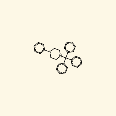 c1ccc(N2CCN(C(c3ccccc3)(c3ccccc3)c3ccccc3)CC2)cc1